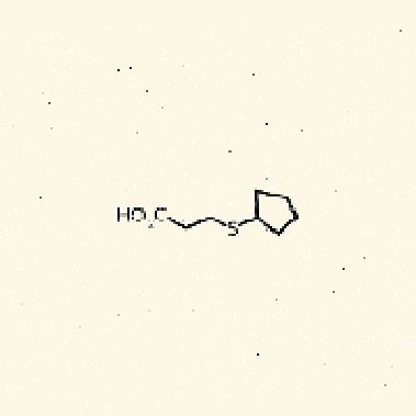 O=C(O)CCSC1CCCC1